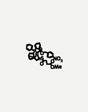 COC(=O)CCC(=O)S[C@H]1CC(=O)N1C(C(=O)OCc1ccc([N+](=O)[O-])cc1)=P(c1ccccc1)(c1ccccc1)c1ccccc1